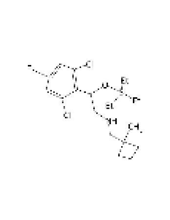 CC[Si](CC)(CC)OC(CNCC1(C)CCC1)c1c(Cl)cc(F)cc1Cl